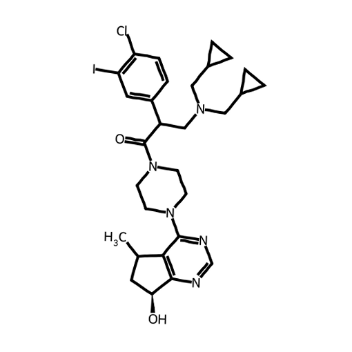 CC1C[C@H](O)c2ncnc(N3CCN(C(=O)C(CN(CC4CC4)CC4CC4)c4ccc(Cl)c(I)c4)CC3)c21